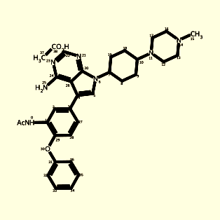 CC(=O)Nc1cc(-c2cn(C3CCC(N4CCN(C)CC4)CC3)c3ncnc(N)c23)ccc1Oc1ccccc1.CC(=O)O